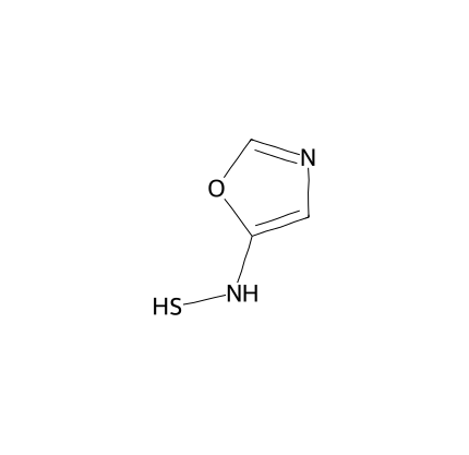 SNc1cnco1